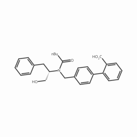 CCCCC(=O)N(Cc1ccc(-c2ccccc2C(=O)O)cc1)[C@H](CO)Cc1ccccc1